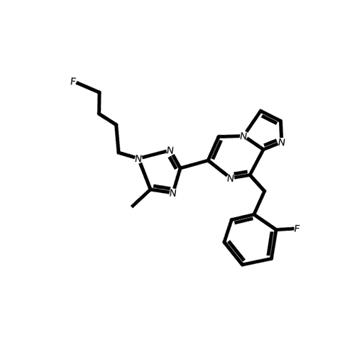 Cc1nc(-c2cn3ccnc3c(Cc3ccccc3F)n2)nn1CCCCF